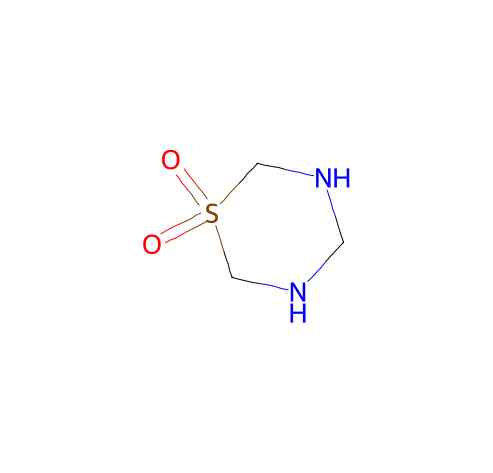 O=S1(=O)CNCNC1